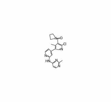 Cc1nccc(Nc2cc(-c3cnc(Cl)c(C(=O)N4CCC4)c3C)ccn2)n1